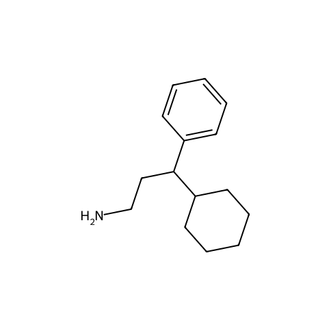 NCCC(c1ccccc1)C1CCCCC1